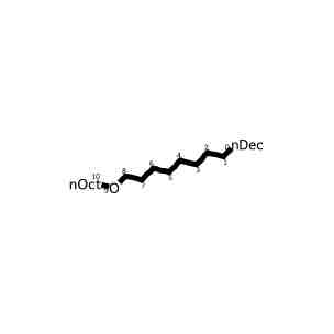 CCCCCCCCCCCCCCCCC[CH]OCCCCCCCC